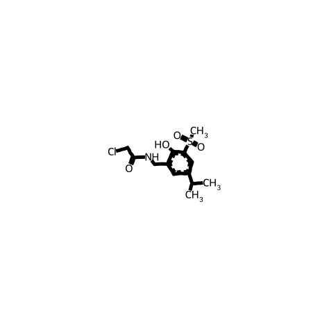 CC(C)c1cc(CNC(=O)CCl)c(O)c(S(C)(=O)=O)c1